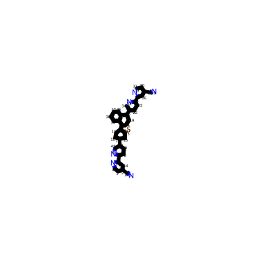 N#Cc1ccnc(-c2ccc(-c3ccc4c(c3)sc3cc(-c5ccc(-c6cc(C#N)ccn6)nc5)c5ccccc5c34)cn2)c1